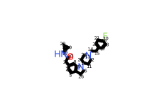 O=C(Cc1ccc2c(c1)N(C1CCN(CCc3ccc(F)cc3)CC1)CC2)NC1CC1